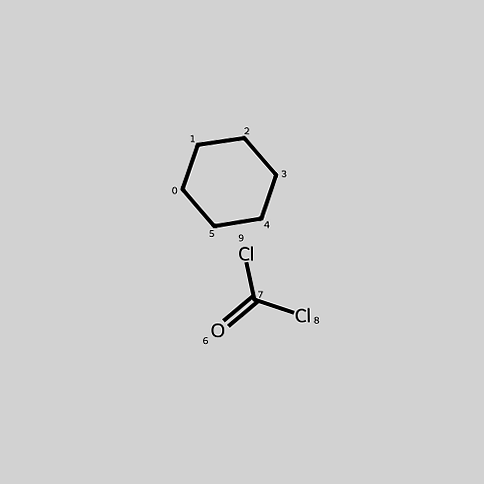 C1CCCCC1.O=C(Cl)Cl